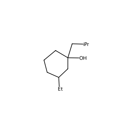 CCC1CCCC(O)(CC(C)C)C1